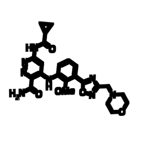 COc1c(Nc2cc(NC(=O)C3CC3)nnc2C(N)=O)cccc1-c1nc(CN2CCOCC2)no1